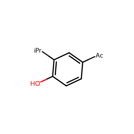 CC(=O)c1ccc(O)c(C(C)C)c1